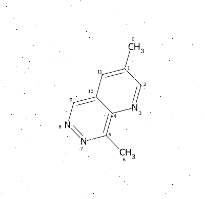 Cc1cnc2c(C)nncc2c1